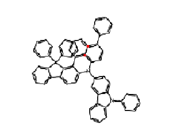 c1ccc(-c2ccc(N(c3ccc4c(c3)c3ccccc3n4-c3ccccc3)c3ccc4c(c3-c3ccccc3)C(c3ccccc3)(c3ccccc3)c3ccccc3-4)cc2)cc1